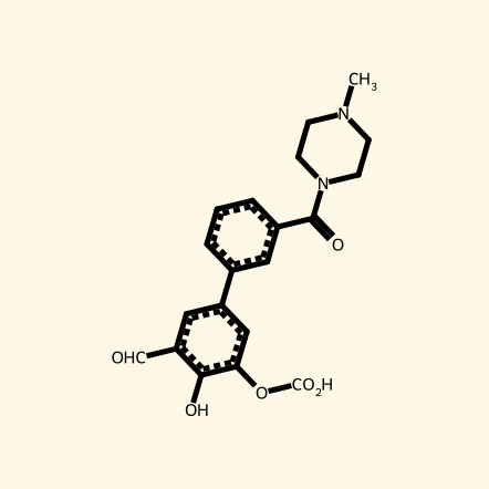 CN1CCN(C(=O)c2cccc(-c3cc(C=O)c(O)c(OC(=O)O)c3)c2)CC1